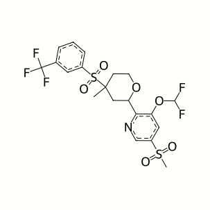 CC1(S(=O)(=O)c2cccc(C(F)(F)F)c2)CCOC(c2ncc(S(C)(=O)=O)cc2OC(F)F)C1